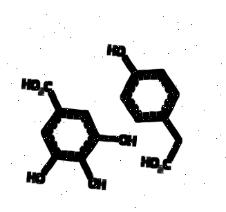 O=C(O)Cc1ccc(O)cc1.O=C(O)c1cc(O)c(O)c(O)c1